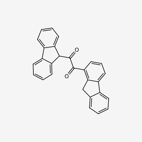 O=C(C(=O)C1c2ccccc2-c2ccccc21)c1cccc2c1Cc1ccccc1-2